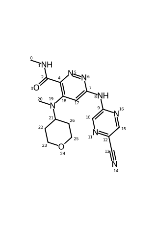 CNC(=O)c1nnc(Nc2cnc(C#N)cn2)cc1N(C)C1CCOCC1